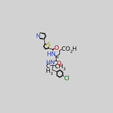 CC(C)(Cc1ccc(Cl)cc1)NC(=O)[C@H](CCC(=O)O)NC(=O)c1ccc(-c2cccnc2)s1